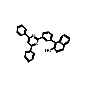 Oc1ccc2ccccc2c1-c1cccc(-c2nc(-c3ccccc3)cc(-c3ccccc3)n2)c1